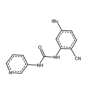 CC(C)(C)c1ccc(C#N)c(NC(=O)Nc2cccnc2)c1